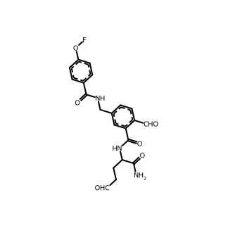 NC(=O)C(CCC=O)NC(=O)c1cc(CNC(=O)c2ccc(OF)cc2)ccc1C=O